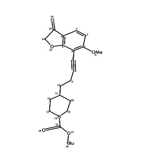 COc1ccc2c(c1C#CCCC1CCN(C(=O)OC(C)(C)C)CC1)OCC2=O